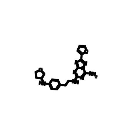 Nc1nc(NCCc2ccc(NC3CCOC3)cc2)nc2nc(-c3ccco3)nn12